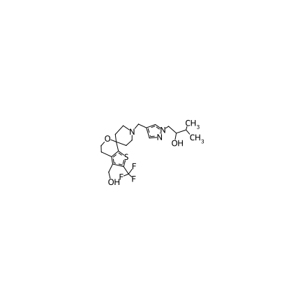 CC(C)C(O)Cn1cc(CN2CCC3(CC2)OCCc2c3sc(C(F)(F)F)c2CO)cn1